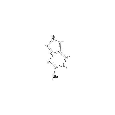 CC(C)(C)c1cc2c[nH]cc2nn1